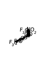 CC1(C)C(=O)N(c2ccc([N+](=O)[O-])c(C(F)(F)F)c2)C(=O)N1CCOCCOCC[S+]([O-])CCCC(F)(F)C(F)(F)F